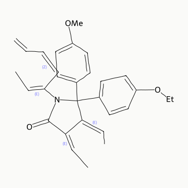 C=C/C=C\C(=C/C)N1C(=O)C(=C/C)/C(=C\C)C1(c1ccc(OC)cc1)c1ccc(OCC)cc1